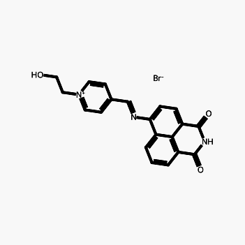 O=C1NC(=O)c2ccc(N=Cc3cc[n+](CCO)cc3)c3cccc1c23.[Br-]